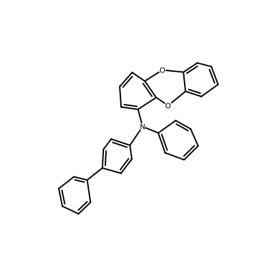 c1ccc(-c2ccc(N(c3ccccc3)c3cccc4c3Oc3ccccc3O4)cc2)cc1